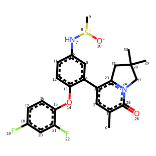 Cc1cc(-c2cc(N[S+](C)[O-])ccc2Oc2ccc(F)cc2F)c2n(c1=O)CC(C)(C)C2